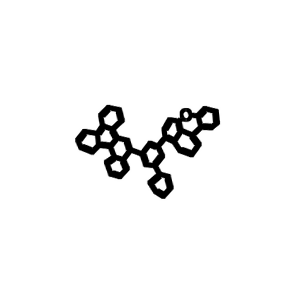 c1ccc(-c2cc(-c3ccc4c5c(cccc35)-c3ccccc3O4)cc(-c3cc4c5ccccc5c5ccccc5c4c4ccccc34)c2)cc1